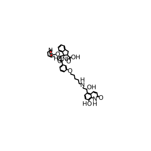 O=C(NC1(C(=O)O[C@H]2CN3CCC2CC3)c2ccccc2CC1C(=O)O)c1cccc(OCCCCCNC[C@H](O)c2ccc(O)c3[nH]c(=O)ccc23)c1